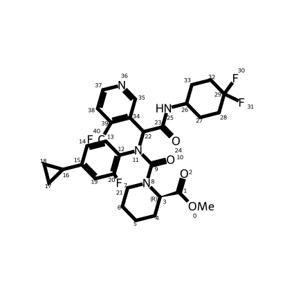 COC(=O)[C@H]1CCCCN1C(=O)N(c1ccc(C2CC2)cc1F)C(C(=O)NC1CCC(F)(F)CC1)c1cnccc1C(F)(F)F